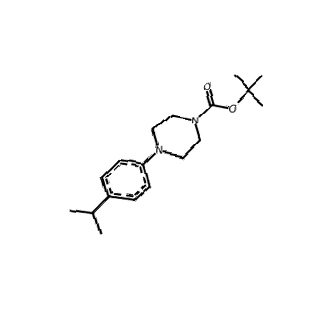 CC(C)c1ccc(N2CCN(C(=O)OC(C)(C)C)CC2)cc1